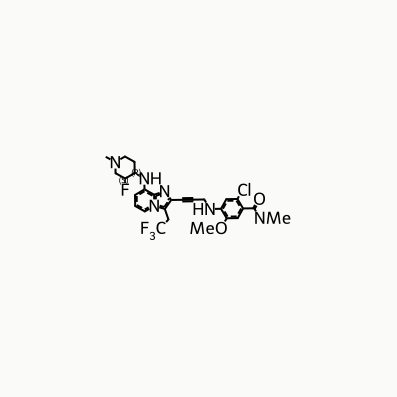 CNC(=O)c1cc(OC)c(NCC#Cc2nc3c(N[C@@H]4CCN(C)C[C@@H]4F)cccn3c2CC(F)(F)F)cc1Cl